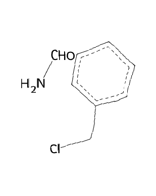 ClCc1ccccc1.NC=O